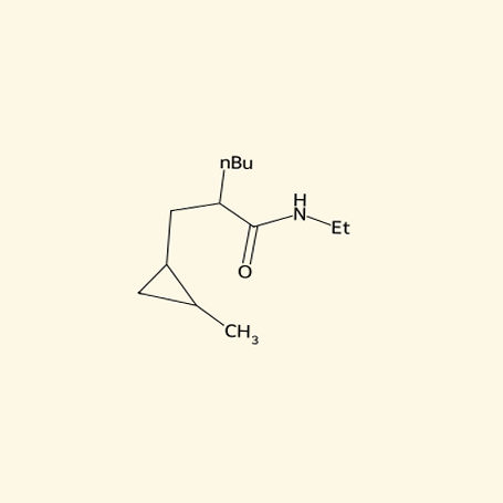 CCCCC(CC1CC1C)C(=O)NCC